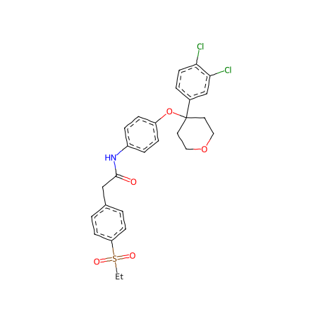 CCS(=O)(=O)c1ccc(CC(=O)Nc2ccc(OC3(c4ccc(Cl)c(Cl)c4)CCOCC3)cc2)cc1